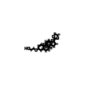 C[C@]12C=CC(OCCO)CC1CC[C@@H]1[C@H]2CC[C@]2(C)C(C3OCCO3)CC[C@@]12O